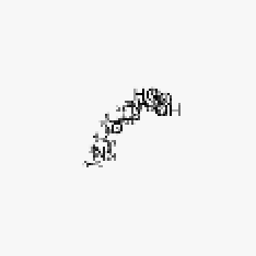 CC[N+]1=CCC(c2ccc(C3C=C[N+](CCP(=O)(O)O)=CC3)o2)C=C1